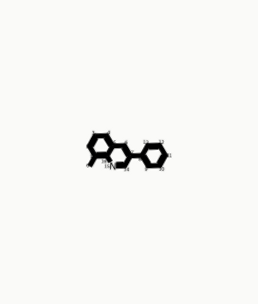 Cc1cccc2cc(-c3ccccc3)cnc12